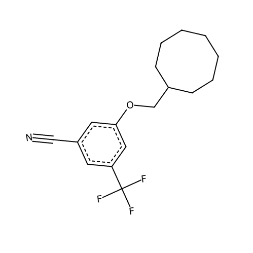 N#Cc1cc(OCC2CCCCCCC2)cc(C(F)(F)F)c1